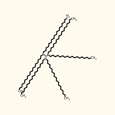 CCCCCCCCCCCCCCCCCC[N](CCCCCCCCCCCCCCCCCC)[Ti+]([N](CCCCCCCCCCCCCCCCCC)CCCCCCCCCCCCCCCCCC)[N](CCCCCCCCCCCCCCCCCC)CCCCCCCCCCCCCCCCCC